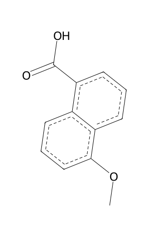 COc1cccc2c(C(=O)O)cccc12